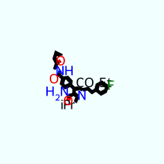 CCOC(=O)c1c(CCc2ccc(F)cc2)nc(CC(C)C)c(C(N)=O)c1-c1ccc(C(=O)NCc2ccco2)cc1